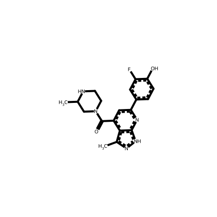 Cc1n[nH]c2nc(-c3ccc(O)c(F)c3)cc(C(=O)N3CCNC(C)C3)c12